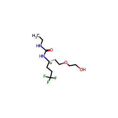 CCNC(=O)N[C@H](CCOCCO)CCC(F)(F)F